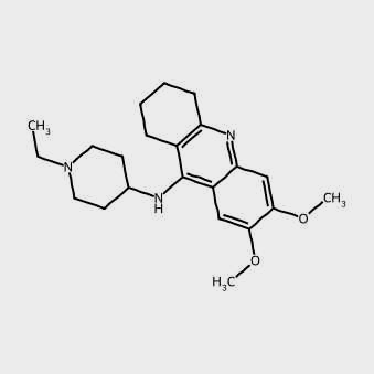 CCN1CCC(Nc2c3c(nc4cc(OC)c(OC)cc24)CCCC3)CC1